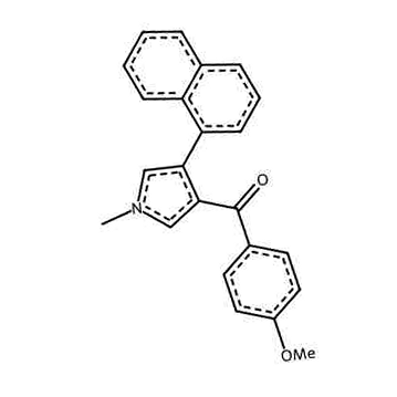 COc1ccc(C(=O)c2cn(C)cc2-c2cccc3ccccc23)cc1